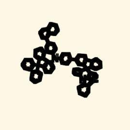 c1ccc(C2(c3ccccc3)c3ccccc3-c3c(N(c4ccc(-c5ccc6c(c5)C5(c7ccccc7-6)c6ccccc6-n6c7ccccc7c7cccc5c76)cc4)c4ccc(-c5cccc6ccccc56)cc4)cccc32)cc1